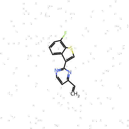 C=Cc1ccnc(-c2csc3c(F)cccc23)n1